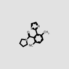 Cc1ccc(C#N)c(C(=O)N2CCCC2)c1-c1nccs1